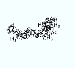 CC(=O)OC1C(C)OC(OC(=O)C2CCC3C(C2)OC2(CC(OC(=O)C=Cc4ccccc4)C(C)CO2)C32CO2)C(OC2OC(C)C(O)C(OC(C)=O)C2O)C1O